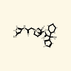 CCc1cc(NC(=O)C[N+]23CCC(CC2)[C@@H](OC(=O)C(O)(c2ccsc2)C2CCCCC2)C3)no1